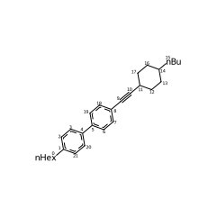 CCCCCCc1ccc(-c2ccc(C#CC3CCC(CCCC)CC3)cc2)cc1